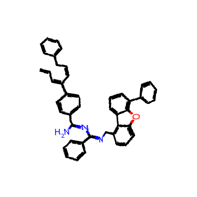 C=C/C=C(\C=C/Cc1ccccc1)c1ccc(/C(N)=N/C(=N\Cc2cccc3oc4c(-c5ccccc5)cccc4c23)c2ccccc2)cc1